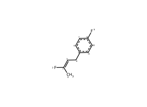 C/C(F)=C\Cc1ccc(F)cc1